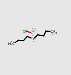 CCC[CH2][Sn][CH2]CCC.ClOCl